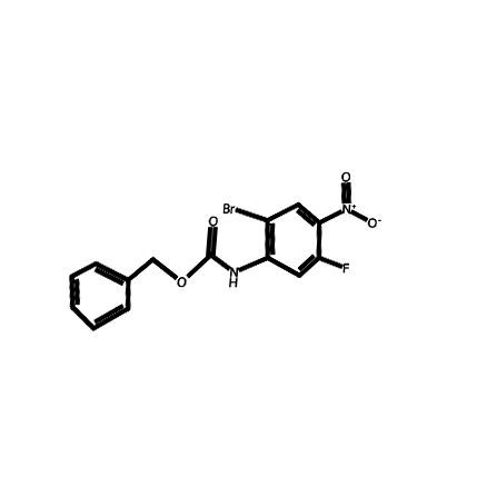 O=C(Nc1cc(F)c([N+](=O)[O-])cc1Br)OCc1ccccc1